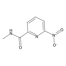 CNC(=O)c1cccc([N+](=O)[O-])n1